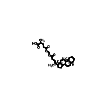 CC(CCC(=O)OCOC(=O)CC[C@@H](C)C1CCC2C3CC[C@@H]4CCCC[C@]4(C)C3CC[C@@]21C)C(=O)O